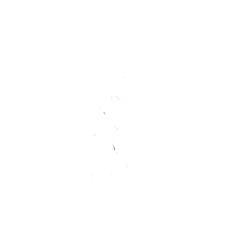 CC(=O)OC(C)(C)OC(=O)[C@@H]1N2C(=O)C(NC(=O)OCc3ccccc3)[C@H]2SC1(C)C